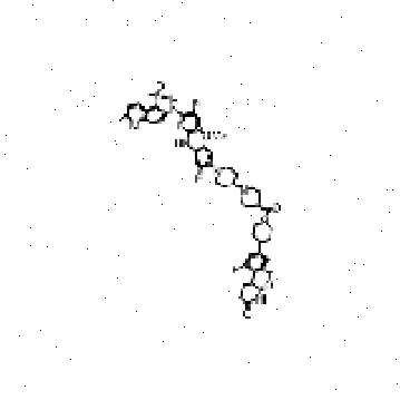 CCc1cc(Nc2ncc(Br)c(Nc3ccc4nc(C)ccc4c3P(C)(C)=O)n2)c(OC)cc1N1CCC(N2CCC(C(=O)N3CCC(c4cc(F)c(C5CCC(=O)NC5=O)c(F)c4)CC3)CC2)CC1